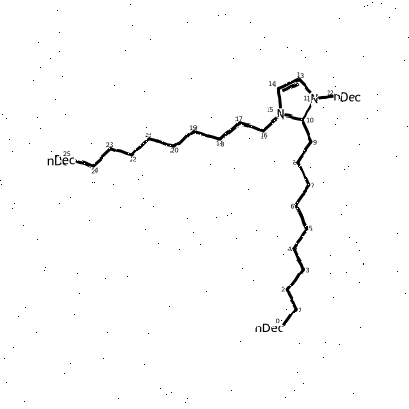 CCCCCCCCCCCCCCCCCCCC1N(CCCCCCCCCC)C=CN1CCCCCCCCCCCCCCCCCCC